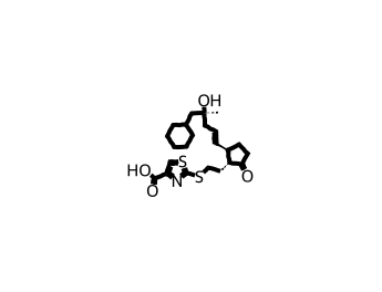 C[C@](O)(C/C=C/[C@H]1CCC(=O)[C@@H]1CCSc1nc(C(=O)O)cs1)CC1CCCCC1